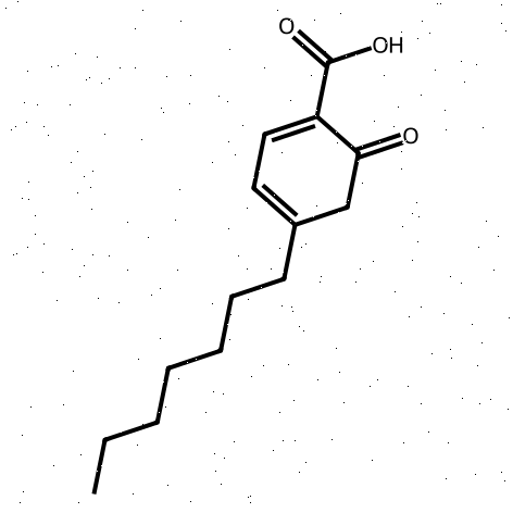 CCCCCCCC1=CC=C(C(=O)O)C(=O)C1